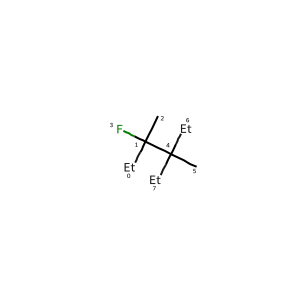 CCC(C)(F)C(C)(CC)CC